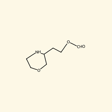 O=COCCC1COCCN1